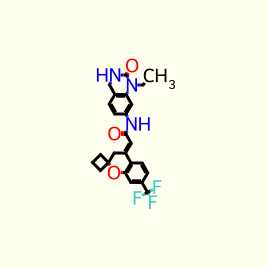 CCN1C(=O)NCc2ccc(NC(=O)/C=C3\CC4(CCC4)Oc4cc(C(F)(F)F)ccc43)cc21